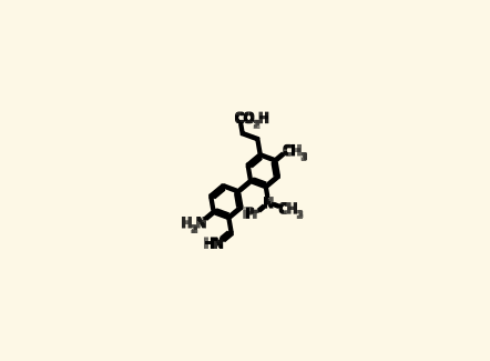 Cc1cc(N(C)C(C)C)c(-c2ccc(N)c(C=N)c2)cc1CCC(=O)O